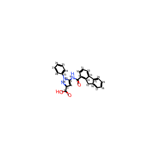 O=C(O)c1cc(NC(=O)c2cccc3c2Cc2ccccc2-3)n(-c2ccccc2)n1